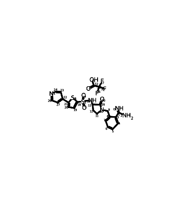 N=C(N)c1ccccc1CN1CCC(NS(=O)(=O)c2ccc(-c3ccncc3)s2)C1=O.O=C(O)C(F)(F)F